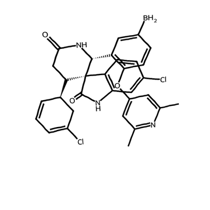 Bc1ccc(Oc2cc(C)nc(C)c2)c([C@H]2NC(=O)CC([C@@H]3C=CC=C(Cl)C3)[C@]23C(=O)Nc2cc(Cl)ccc23)c1